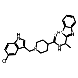 CC(NC(=O)C1CCN(Cc2c[nH]c3ccc(Cl)cc23)CC1)c1nc2ccccc2[nH]1